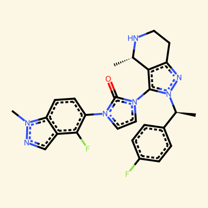 C[C@@H]1NCCc2nn([C@@H](C)c3ccc(F)cc3)c(-n3ccn(-c4ccc5c(cnn5C)c4F)c3=O)c21